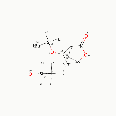 CC(C)(C[C@H]1C2CC(C(=O)O2)[C@H]1O[Si](C)(C)C(C)(C)C)[Si](C)(C)O